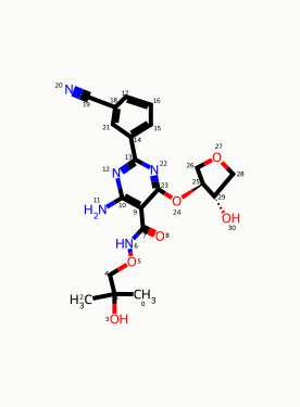 CC(C)(O)CONC(=O)c1c(N)nc(-c2cccc(C#N)c2)nc1O[C@H]1COC[C@@H]1O